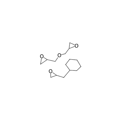 C(OCC1CO1)C1CO1.C1CCC(CC2CO2)CC1